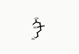 CC(C#N)CC(C)(C#N)CCCC#N